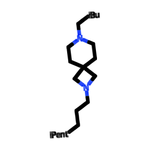 CCCC(C)CCCN1CC2(CCN(CC(C)CC)CC2)C1